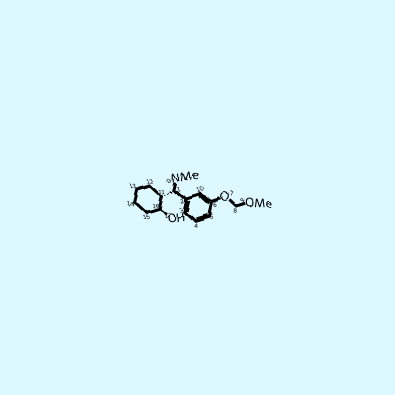 CNC(c1cccc(OCOC)c1)[C@H]1CCCC[C@@H]1O